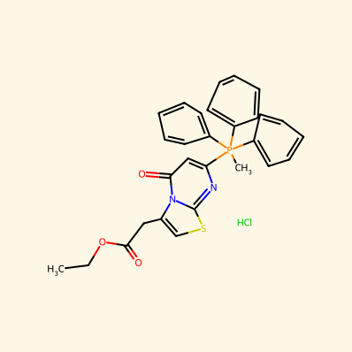 CCOC(=O)Cc1csc2nc(P(C)(c3ccccc3)(c3ccccc3)c3ccccc3)cc(=O)n12.Cl